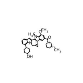 CC[C@@H]1CCCN(C(=O)c2cc(OC)c3c(c2)nc(-c2cc4cccc(C5CCC(O)CC5)c4n2CC2CC2)n3C)C1